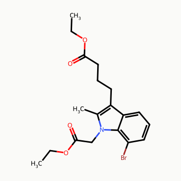 CCOC(=O)CCCc1c(C)n(CC(=O)OCC)c2c(Br)cccc12